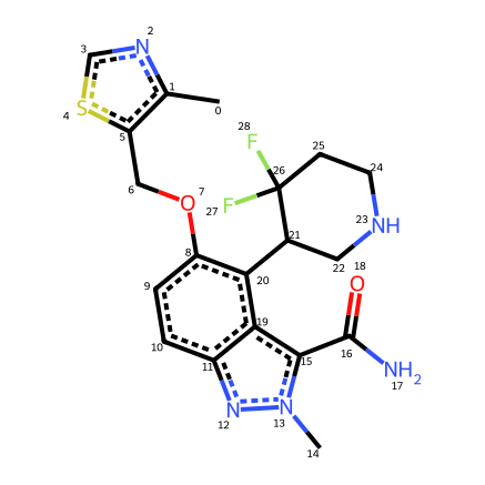 Cc1ncsc1COc1ccc2nn(C)c(C(N)=O)c2c1C1CNCCC1(F)F